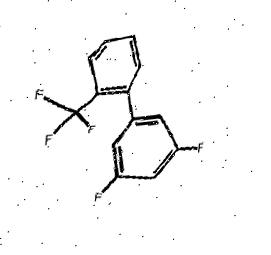 Fc1cc(F)cc(-c2[c]cccc2C(F)(F)F)c1